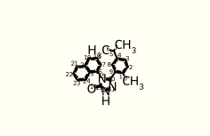 Cc1ccc(C(C)C)cc1-c1n[nH]c(=O)n1-c1cccc2ccccc12